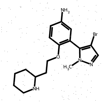 Cn1ncc(Br)c1-c1cc(N)ccc1OCCC1CCCCN1